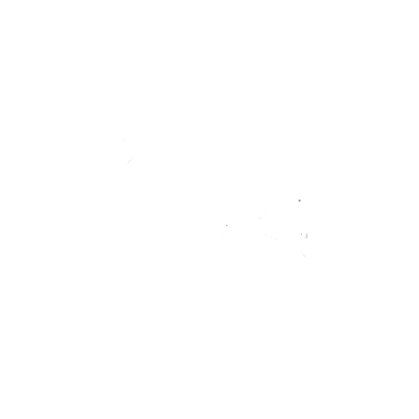 CC(C)(CCCCOCCc1ccccc1)CC(N)Cc1ccc(O)c2[nH]c(=O)sc12.Cl